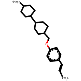 CCCCCCCC1CCC(C2CCC(COc3ccc(/C=C/C(=O)O)cc3)CC2)CC1